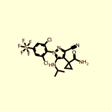 CC(C)Nc1c(C2(C(N)=O)CC2)c(C#N)nn1-c1c(Cl)cc(S(F)(F)(F)(F)F)cc1Cl